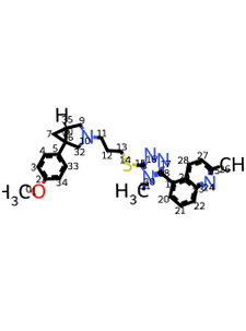 COc1ccc(C23C[C@@H]2CN(CCCSc2nnc(-c4cccc5nc(C)ccc45)n2C)C3)cc1